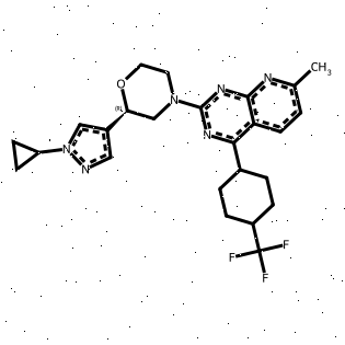 Cc1ccc2c(C3CCC(C(F)(F)F)CC3)nc(N3CCO[C@H](c4cnn(C5CC5)c4)C3)nc2n1